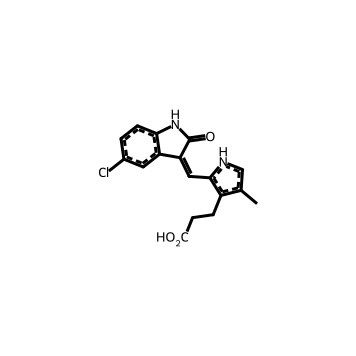 Cc1c[nH]c(/C=C2\C(=O)Nc3ccc(Cl)cc32)c1CCC(=O)O